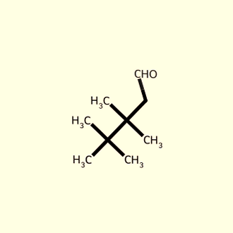 CC(C)(C)C(C)(C)CC=O